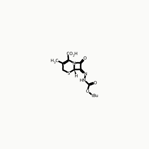 CC1=C(C(=O)O)N2C(=O)/C(=N/NC(=O)OC(C)(C)C)[C@@H]2SC1